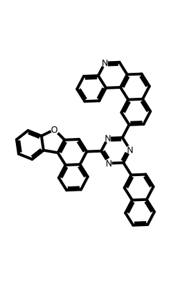 c1ccc2cc(-c3nc(-c4ccc5ccc6cnc7ccccc7c6c5c4)nc(-c4cc5oc6ccccc6c5c5ccccc45)n3)ccc2c1